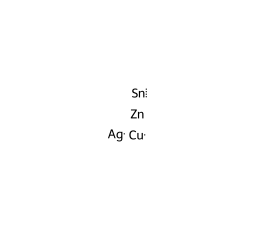 [Ag].[Cu].[Sn].[Zn]